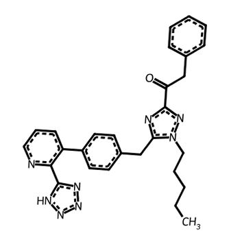 CCCCCn1nc(C(=O)Cc2ccccc2)nc1Cc1ccc(-c2cccnc2-c2nnn[nH]2)cc1